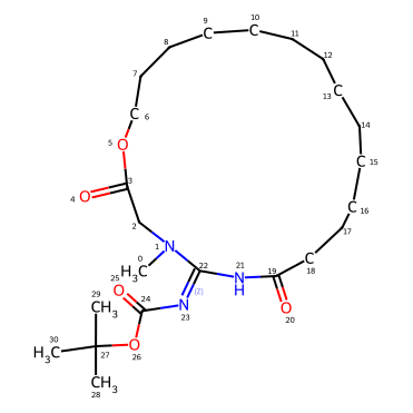 CN1CC(=O)OCCCCCCCCCCCCCC(=O)N/C1=N/C(=O)OC(C)(C)C